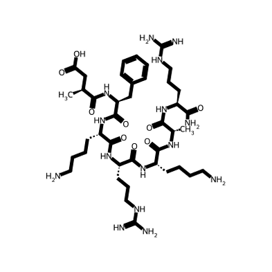 C[C@H](NC(=O)[C@H](CCCCN)NC(=O)[C@H](CCCNC(=N)N)NC(=O)[C@H](CCCCN)NC(=O)[C@H](Cc1ccccc1)NC(=O)[C@@H](C)CC(=O)O)C(=O)N[C@@H](CCCNC(=N)N)C(N)=O